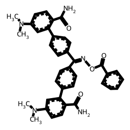 CN(C)c1ccc(C(N)=O)c(-c2ccc(C(=NOC(=O)c3ccccc3)c3ccc(-c4cc(N(C)C)ccc4C(N)=O)cc3)cc2)c1